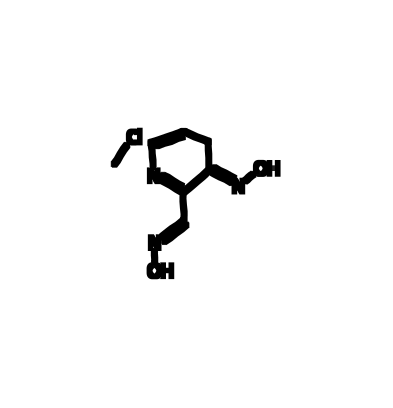 CCl.ON=CC1=NC=CCC1=NO